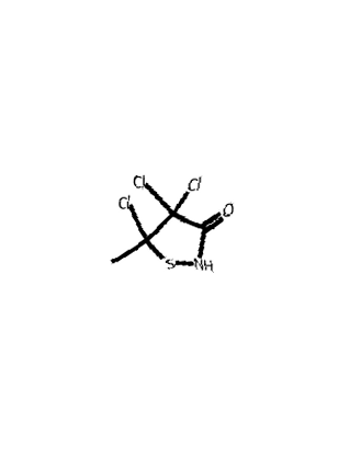 CC1(Cl)SNC(=O)C1(Cl)Cl